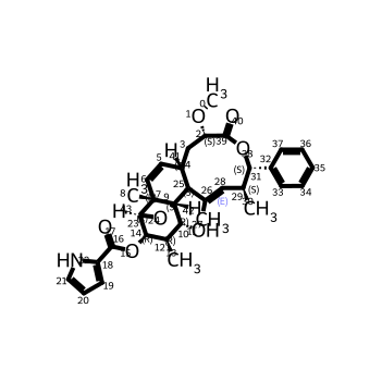 CO[C@H]1C[C@H]2C=C[C@]3(C)[C@H]4[C@H](O)[C@@H](C)[C@@H](OC(=O)c5ccc[nH]5)[C@@H]3O[C@@]24/C(C)=C/[C@H](C)[C@@H](c2ccccc2)OC1=O